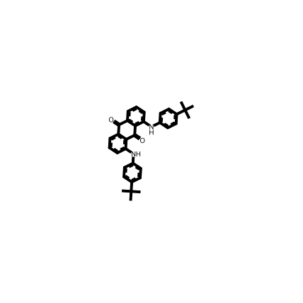 CC(C)(C)c1ccc(Nc2cccc3c2C(=O)c2c(Nc4ccc(C(C)(C)C)cc4)cccc2C3=O)cc1